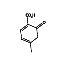 CC1=CC=C(C(=O)O)C(=O)C1